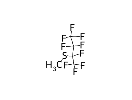 CSC(F)(C(F)(F)F)C(F)(F)C(F)(F)F